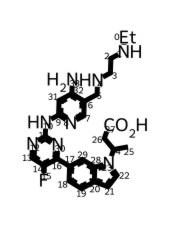 CCNCCNCc1cnc(Nc2ncc(F)c(-c3ccc4ccn(C(C)CC(=O)O)c4c3)n2)cc1N